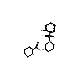 O=C(N[C@H]1CCCN(S(=O)(=O)c2ccccc2Cl)C1)C1CCCCC1